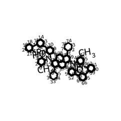 Cc1cccc(N(c2cccc(-c3cccc(-c4ccccc4C(C)C)c3)c2O)c2cc(C3CCCCC3)c3ccc4c(N(c5cccc(C)c5)c5cccc6c5oc5c(-c7ccccc7C(C)C)cccc56)cc(C5CCCCC5)c5ccc2c3c54)c1